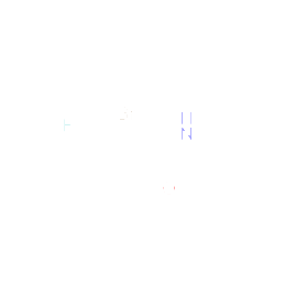 C=CNC(=O)/C(Br)=C(\C)CF